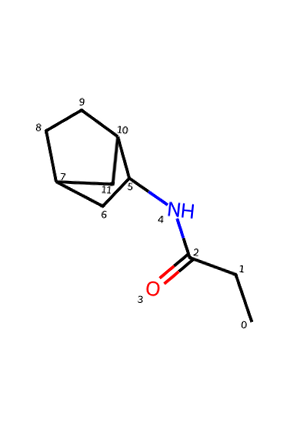 CCC(=O)NC1CC2CCC1C2